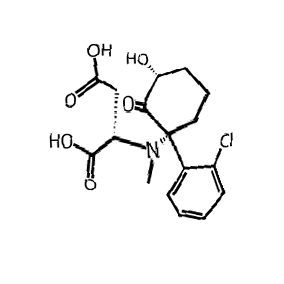 CN([C@@H](CC(=O)O)C(=O)O)[C@@]1(c2ccccc2Cl)CCC[C@@H](O)C1=O